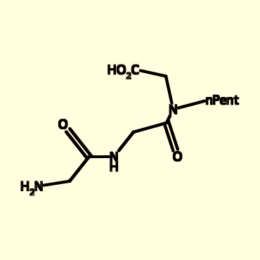 CCCCCN(CC(=O)O)C(=O)CNC(=O)CN